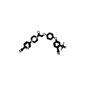 N#Cc1ccc(N2CCN(C(=O)CO[C@H]3CC[C@H](Oc4ccc(C#N)c(C(F)(F)F)c4)CC3)CC2)cn1